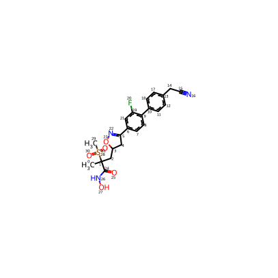 CC(CC1CC(c2ccc(-c3ccc(CC#N)cc3)c(F)c2)=NO1)(C(=O)NO)S(C)(=O)=O